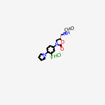 Cl.O=CNC[C@H]1CN(c2ccc(-n3cccc3)c(F)c2)C(=O)O1